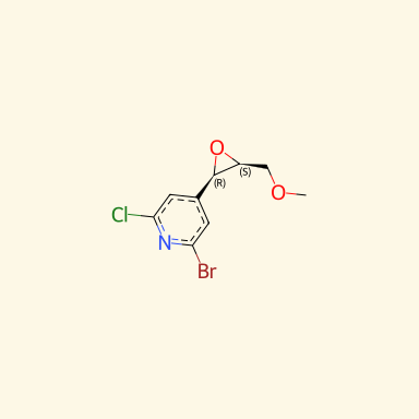 COC[C@@H]1O[C@@H]1c1cc(Cl)nc(Br)c1